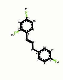 Fc1ccc([CH]/C=C/c2ccc(F)cc2F)cc1